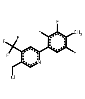 Cc1c(F)cc(-c2cc(C(F)(F)F)c(CCl)cn2)c(F)c1F